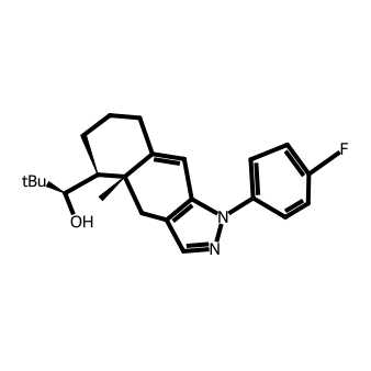 CC(C)(C)[C@H](O)[C@H]1CCCC2=Cc3c(cnn3-c3ccc(F)cc3)C[C@@]21C